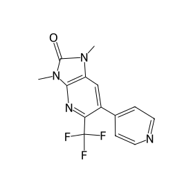 Cn1c(=O)n(C)c2nc(C(F)(F)F)c(-c3ccncc3)cc21